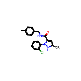 Cc1ccc(CNC(=O)C2=CC(C(F)(F)F)NN2c2ccccc2Cl)cc1